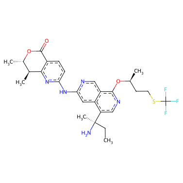 CC[C@@](C)(N)c1cnc(O[C@@H](C)CCSC(F)(F)F)c2cnc(Nc3ccc4c(n3)[C@@H](C)[C@H](C)OC4=O)cc12